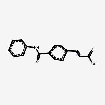 O=C(O)/C=C/c1ccc(C(=O)Nc2ccccc2)cc1